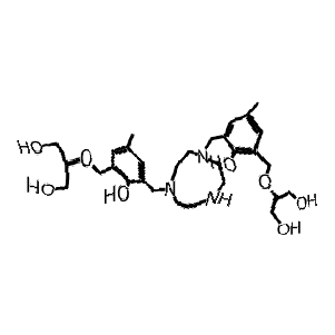 Cc1cc(COC(CO)CO)c(O)c(CN2CCNCCN(Cc3cc(C)cc(COC(CO)CO)c3O)CC2)c1